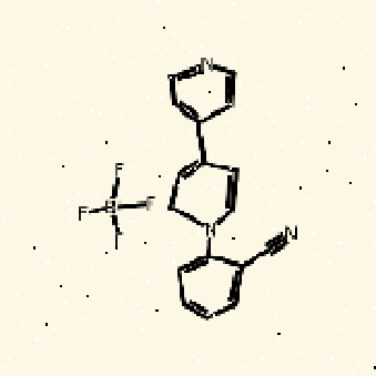 F[B-](F)(F)F.N#Cc1ccccc1N1C=CC(c2ccncc2)=CC1